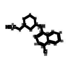 O=C(O)CN1CCC[C@@H](Nc2nnc(Cl)c3ccccc23)C1